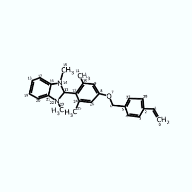 C=Cc1ccc(COc2cc(C)c(C3N(C)c4ccccc4N3C)c(C)c2)cc1